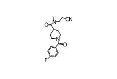 CN(CCC#N)C(=O)C1CCN(C(=O)c2ccc(F)cc2)CC1